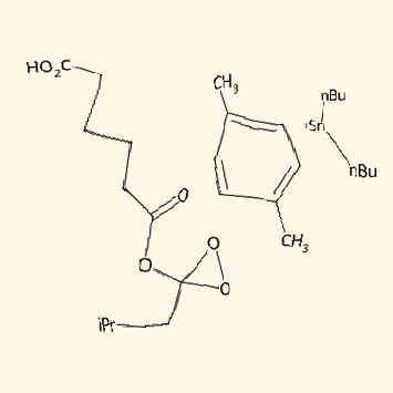 CC(C)CC1(OC(=O)CCCCC(=O)O)OO1.CCC[CH2][Sn][CH2]CCC.Cc1ccc(C)cc1